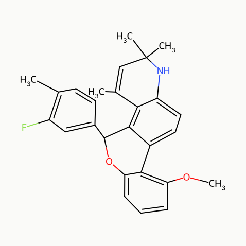 COc1cccc2c1-c1ccc3c(c1C(c1ccc(C)c(F)c1)O2)C(C)=CC(C)(C)N3